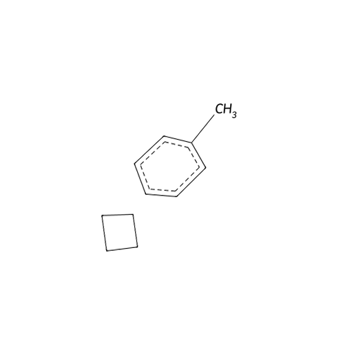 C1CCC1.Cc1ccccc1